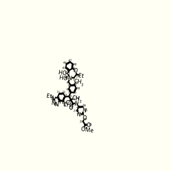 CCC1CN(Cc2cc(C(c3ccc4c(nnn4CC)c3C)C(C)(C)C(=O)Nc3cnc(OCC(=O)OC)nc3)ccc2C)S(O)(O)c2ccccc2O1